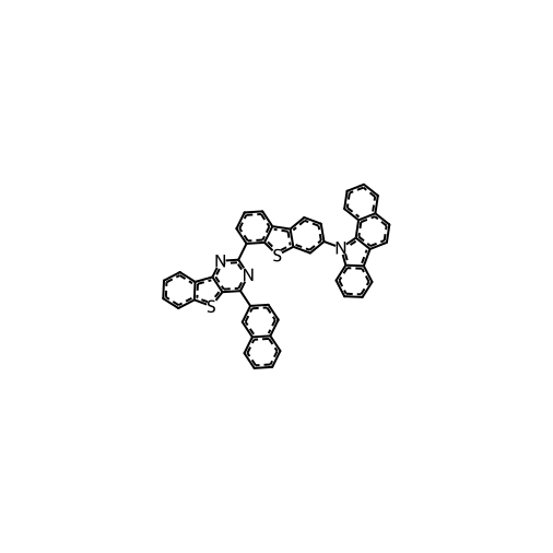 c1ccc2cc(-c3nc(-c4cccc5c4sc4cc(-n6c7ccccc7c7ccc8ccccc8c76)ccc45)nc4c3sc3ccccc34)ccc2c1